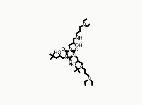 CCN(CC)CCCNCC(O)Cn1c(=O)n(CC(O)CN(CCCN(CC)CC)C(C)(C)C)c(=O)n(CC(O)CC(C)(C)C)c1=O